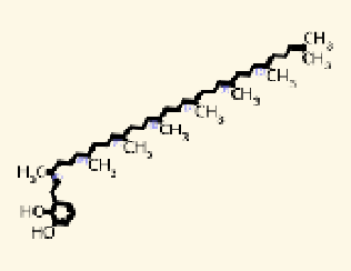 CC(C)=CCC/C(C)=C/CC/C(C)=C/CC/C(C)=C/CC/C(C)=C/CC/C(C)=C/CC/C(C)=C/CC/C(C)=C/Cc1cccc(O)c1O